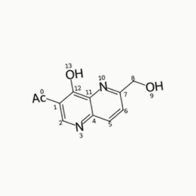 CC(=O)c1cnc2ccc(CO)nc2c1O